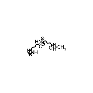 CCNC(=O)CCCS(=O)(=O)NC(=O)CCCc1nnn[nH]1